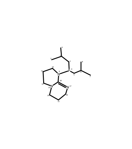 CC(C)CP(CC(C)C)N1CCCN2CCCN=C21